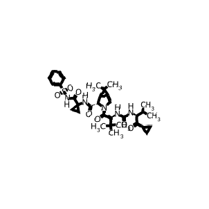 CC(C)[C@H](NC(=O)N[C@H](C(=O)N1CC2C([C@H]1C(=O)NC1(C(=O)NS(=O)(=O)c3ccccc3)CC1)C2(C)C)C(C)(C)C)C(=O)C1CC1